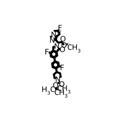 CCOC(=O)C(c1ncn2c1C[C@@H](F)C2)N1Cc2c(F)cc(-c3ccc(C4CCN(C(=O)OC(C)(C)C)CC4)c(F)c3)cc2C1=O